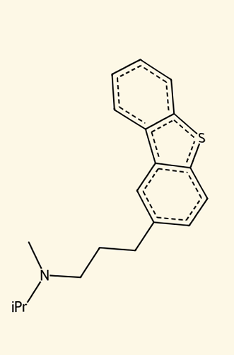 CC(C)N(C)CCCc1ccc2sc3ccccc3c2c1